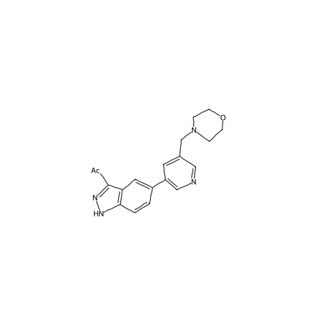 CC(=O)c1n[nH]c2ccc(-c3cncc(CN4CCOCC4)c3)cc12